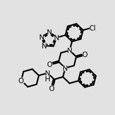 O=C(NC1CCOCC1)C(Cc1ccccc1)N1CC(=O)N(c2cc(Cl)ccc2-n2cnnn2)CC1=O